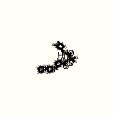 Cc1ccc(/C=N/NC(=O)c2c(C)csc2NC(=O)c2cccc(CN3CCC(N4CCCCC4)CC3)c2)cc1C